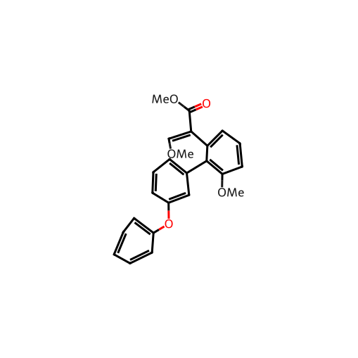 CO/C=C(/C(=O)OC)c1cccc(OC)c1-c1cccc(Oc2ccccc2)c1